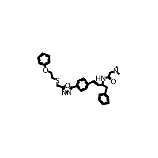 CN(C)CC(=O)NC(C=Cc1ccc(-c2nnc(CSCCOc3ccccc3)o2)cc1)Cc1ccccc1